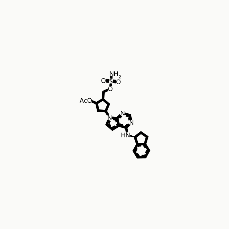 CC(=O)OC1CC(n2ccc3c(N[C@H]4CCc5ccccc54)ncnc32)CC1COS(N)(=O)=O